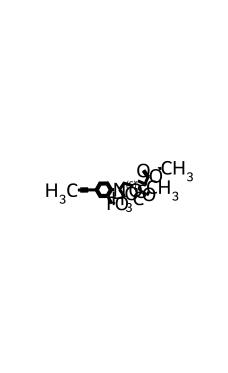 CC#Cc1ccc(N2C[C@H](CC(C)(C(=O)OCC)S(C)(=O)=O)OC2=O)c(F)c1